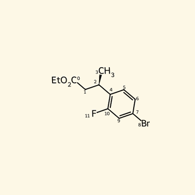 CCOC(=O)C[C@@H](C)c1ccc(Br)cc1F